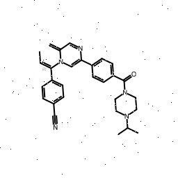 C=C1C=NC(c2ccc(C(=O)N3CCN(C(C)C)CC3)cc2)=CN1/C(=C\C)c1ccc(C#N)cc1